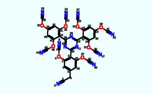 N#CCc1cc(OC#N)c(-c2nc(-c3c(OC#N)cc(OC#N)cc3OC#N)nc(-c3c(OC#N)cc(OC#N)cc3OC#N)n2)c(OC#N)c1